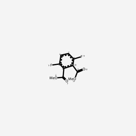 COC(=O)c1c(F)ccc(F)c1C(=O)OC